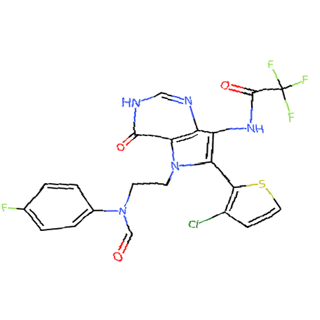 O=CN(CCn1c(-c2sccc2Cl)c(NC(=O)C(F)(F)F)c2nc[nH]c(=O)c21)c1ccc(F)cc1